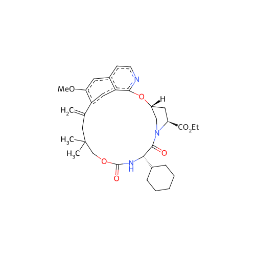 C=C1CC(C)(C)COC(=O)N[C@@H](C2CCCCC2)C(=O)N2C[C@@H](C[C@H]2C(=O)OCC)Oc2nccc3cc(OC)c1cc23